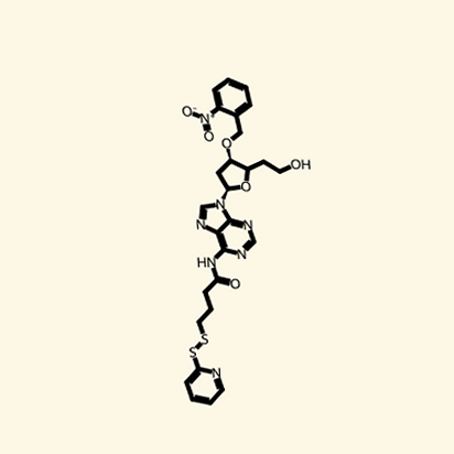 O=C(CCCSSc1ccccn1)Nc1ncnc2c1ncn2[C@H]1C[C@@H](OCc2ccccc2[N+](=O)[O-])C(CCO)O1